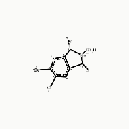 CC(C)[C@H]1c2nc(C(C)(C)C)c(Cl)cc2C(C)N1C(=O)O